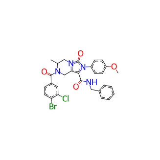 COc1ccc(-n2c(C(=O)NCc3ccccc3)c3n(c2=O)CC(C)N(C(=O)c2ccc(Br)c(Cl)c2)C3)cc1